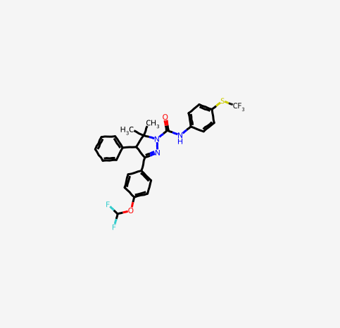 CC1(C)C(c2ccccc2)C(c2ccc(OC(F)F)cc2)=NN1C(=O)Nc1ccc(SC(F)(F)F)cc1